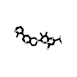 Cc1ncccc1-c1cnc2c(c1)CN(c1nn3c(=O)cc(C(F)F)nc3c(C)c1C)CC2